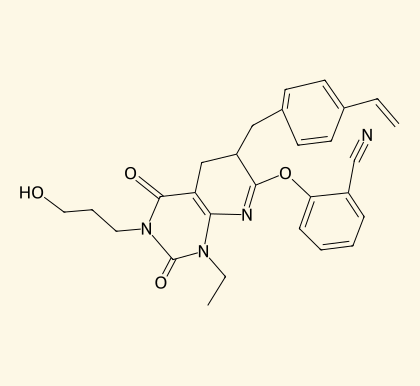 C=Cc1ccc(CC2Cc3c(n(CC)c(=O)n(CCCO)c3=O)N=C2Oc2ccccc2C#N)cc1